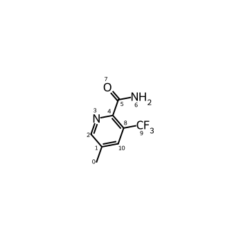 Cc1cnc(C(N)=O)c(C(F)(F)F)c1